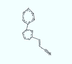 N#CC=Cc1cccc(-c2cc[c]cc2)c1